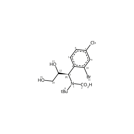 CC(C)(C)N(C(=O)O)[C@H](c1ccc(Cl)cc1Br)C(O)CO